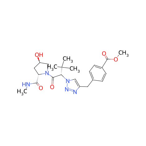 CNC(=O)[C@@H]1C[C@@H](O)CN1C(=O)[C@@H](n1cc(Cc2ccc(C(=O)OC)cc2)nn1)C(C)(C)C